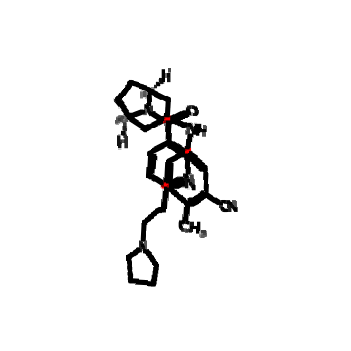 Cc1ccc(NC2C[C@H]3CC[C@@H](C2)N3C(=O)c2ccc(CCN3CCCC3)nc2)cc1C#N